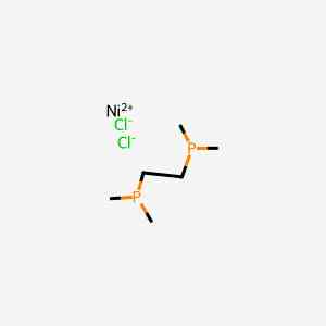 CP(C)CCP(C)C.[Cl-].[Cl-].[Ni+2]